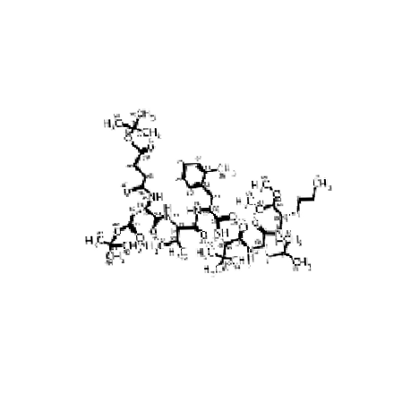 CCCC[C@H](NC(=O)[C@H](CC(C)C)NC(=O)[C@@H](NC(=O)[C@H](Cc1ccccc1C)NC(=O)[C@H](NC(=O)[C@H](CC(=O)OC(C)(C)C)NC(=O)CCC(=O)OC(C)(C)C)C(C)C)C(C)(C)C)C(OC)OC